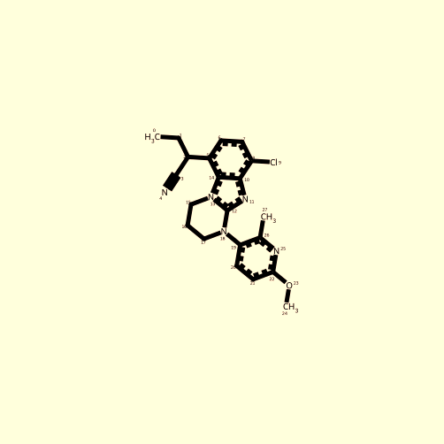 CCC(C#N)c1ccc(Cl)c2nc3n(c12)CCCN3c1ccc(OC)nc1C